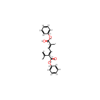 C=C(C)/C(=C\C=C(/C)C(=O)Oc1ccccc1)C(=O)Oc1ccccc1